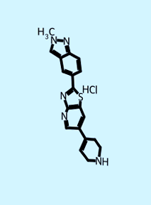 Cl.Cn1cc2cc(-c3nc4ncc(C5=CCNCC5)cc4s3)ccc2n1